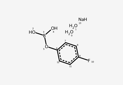 O.O.OB(O)Oc1ccc(F)cc1.[NaH]